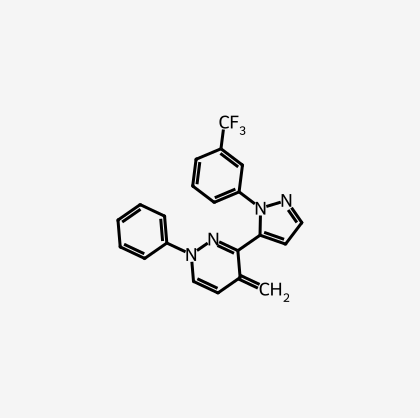 C=C1C=CN(c2ccccc2)N=C1c1ccnn1-c1cccc(C(F)(F)F)c1